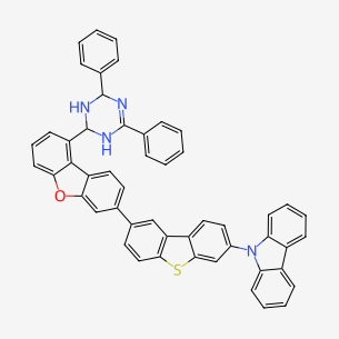 c1ccc(C2=NC(c3ccccc3)NC(c3cccc4oc5cc(-c6ccc7sc8cc(-n9c%10ccccc%10c%10ccccc%109)ccc8c7c6)ccc5c34)N2)cc1